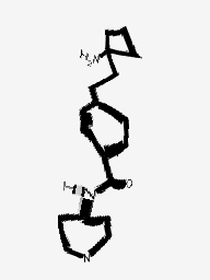 NC1(CCc2ccc(C(=O)Nc3ccncc3)cc2)CCC1